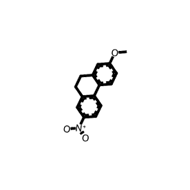 COc1ccc2c(c1)CCc1cc([N+](=O)[O-])ccc1-2